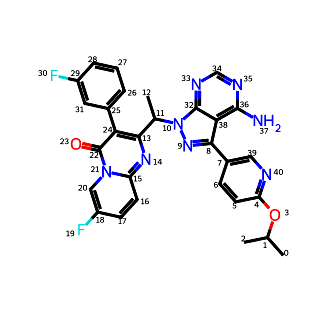 CC(C)Oc1ccc(-c2nn(C(C)c3nc4ccc(F)cn4c(=O)c3-c3cccc(F)c3)c3ncnc(N)c23)cn1